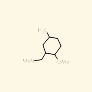 CNCC1CC(C)CCC1OC